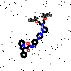 CC(C)(C)[Si](C)(C)OCCN(CCO[Si](C)(C)C(C)(C)C)c1cccc(N2CCN(c3ccc(NC(=O)C(=O)c4c(-c5ccccc5)cc5ccccn45)cc3)CC2)n1